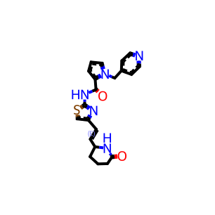 O=C1CCCC(/C=C/c2csc(NC(=O)c3cccn3Cc3ccncc3)n2)N1